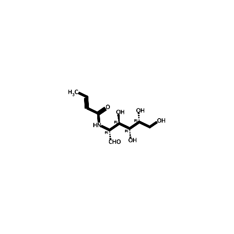 CC=CC(=O)N[C@@H](C=O)[C@@H](O)[C@@H](O)[C@H](O)CO